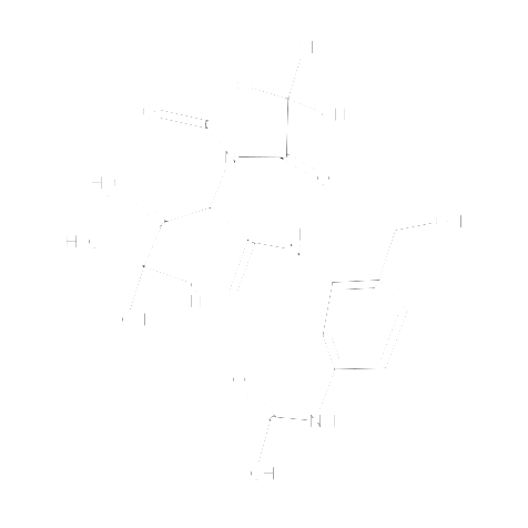 C=C(C(C(=O)Nc1cc(NC(C)=O)ccc1CO)N1C(=O)OC(C)(C)C1=O)C(C)(C)C